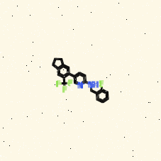 Fc1ccccc1CNc1ccc(-c2cc3c(cc2C(F)(F)F)CCC3)cn1